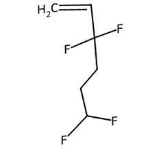 C=CC(F)(F)CCC(F)F